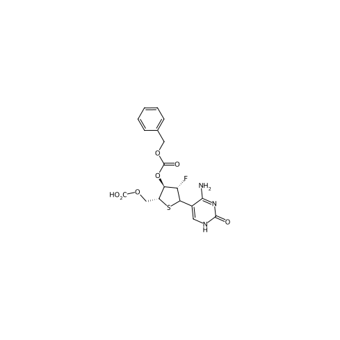 Nc1nc(=O)[nH]cc1C1S[C@H](COC(=O)O)[C@@H](OC(=O)OCc2ccccc2)[C@@H]1F